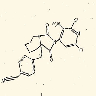 N#Cc1ccc(CC23CCCN2C(=O)N(c2cc(Cl)nc(Cl)c2N)C3=O)cc1